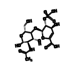 CC(=O)N[C@H]1C(O)O[C@H](CO)C(O[C@@H]2OC(C(=O)O)=C[C@H](O)[C@H]2OS(=O)(=O)O)[C@@H]1O